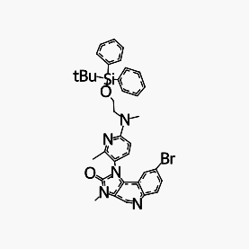 Cc1nc(N(C)CCO[Si](c2ccccc2)(c2ccccc2)C(C)(C)C)ccc1-n1c(=O)n(C)c2cnc3ccc(Br)cc3c21